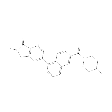 CC1CCN(C(=O)c2ccc3c(-c4cnc5c(c4)CN(C)C5=O)cccc3c2)CC1